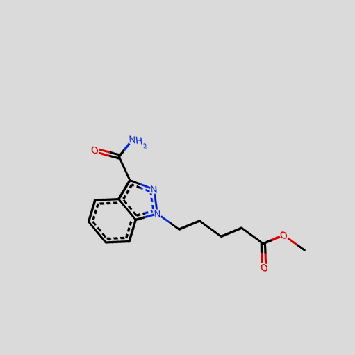 COC(=O)CCCCn1nc(C(N)=O)c2ccccc21